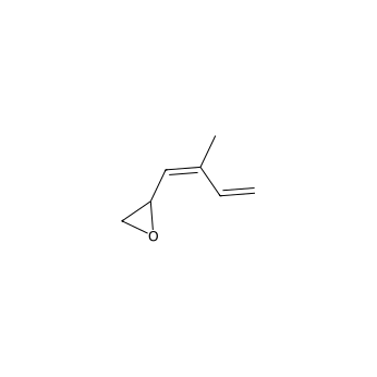 C=CC(C)=CC1CO1